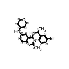 Cc1nc(NC(C)c2cccc(Br)c2)c2cc(NC3CCOCC3)ncc2n1